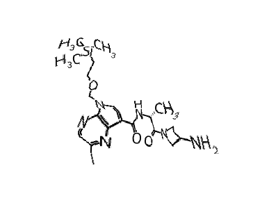 C[C@@H](NC(=O)c1cn(COCC[Si](C)(C)C)c2ncc(I)nc12)C(=O)N1CC(N)C1